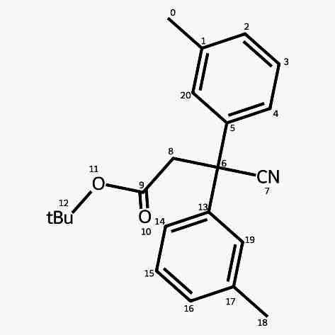 Cc1cccc(C(C#N)(CC(=O)OC(C)(C)C)c2cccc(C)c2)c1